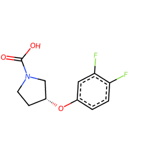 O=C(O)N1CC[C@@H](Oc2ccc(F)c(F)c2)C1